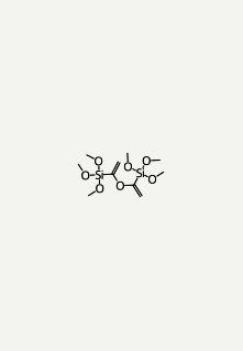 C=C(OC(=C)[Si](OC)(OC)OC)[Si](OC)(OC)OC